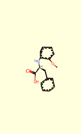 COc1ccccc1N[C@@H](Cc1ccccc1)C(=O)O